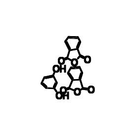 O=C1OC(=O)c2ccccc21.O=C1OC(=O)c2ccccc21.Oc1cccc(O)c1